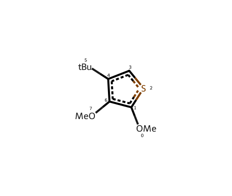 COc1scc(C(C)(C)C)c1OC